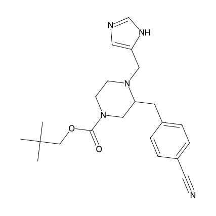 CC(C)(C)COC(=O)N1CCN(Cc2cnc[nH]2)C(Cc2ccc(C#N)cc2)C1